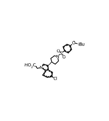 CC[C@H](C)Oc1ccc(S(=O)(=O)N2CCC(c3cn(CC(=O)O)c4ccc(Cl)cc34)CC2)cc1